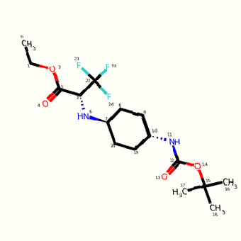 CCOC(=O)[C@@H](N[C@H]1CC[C@H](NC(=O)OC(C)(C)C)CC1)C(F)(F)F